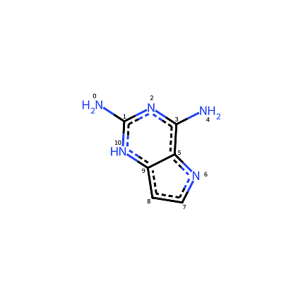 Nc1nc(N)c2nccc-2[nH]1